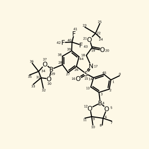 Cc1cc(B2OC(C)(C)C(C)(C)O2)cc(S(=O)(=NCC(=O)OC(C)(C)C)c2cc(B3OC(C)(C)C(C)(C)O3)cc(C(F)(F)F)c2)c1